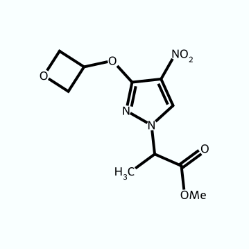 COC(=O)C(C)n1cc([N+](=O)[O-])c(OC2COC2)n1